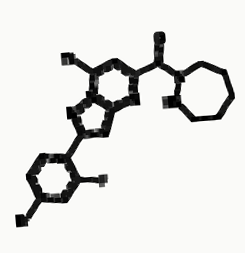 CCc1cc(C(=O)N2CCCCCN2)nc2cc(-c3ccc(Br)cc3F)nn12